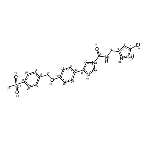 CCc1cc(CNC(=O)n2cnc(-c3ccc(OCc4ccc(S(C)(=O)=O)cc4)cc3)c2)n[nH]1